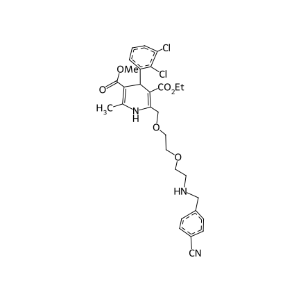 CCOC(=O)C1=C(COCCOCCNCc2ccc(C#N)cc2)NC(C)=C(C(=O)OC)C1c1cccc(Cl)c1Cl